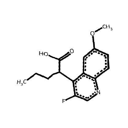 CCCC(C(=O)O)c1c(F)cnc2ccc(OC)cc12